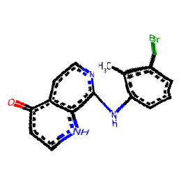 Cc1c(Br)cccc1Nc1nccc2c(=O)cc[nH]c12